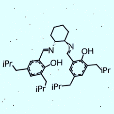 CC(C)Cc1cc(/C=N/[C@@H]2CCCC[C@H]2/N=C/c2cc(CC(C)C)cc(CC(C)C)c2O)c(O)c(CC(C)C)c1